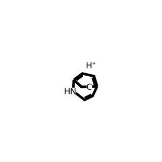 C1=CC2=CC=C(CC2)N1.[H+]